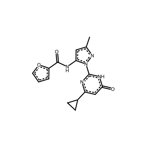 Cc1cc(NC(=O)c2ccco2)n(-c2nc(C3CC3)cc(=O)[nH]2)n1